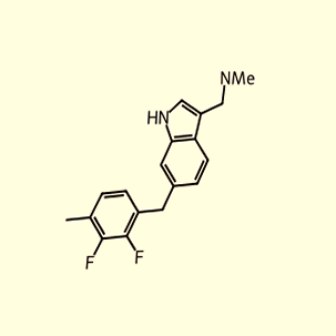 CNCc1c[nH]c2cc(Cc3ccc(C)c(F)c3F)ccc12